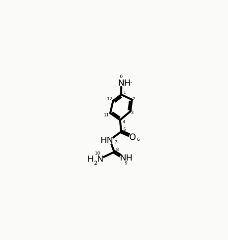 [NH]c1ccc(C(=O)NC(=N)N)cc1